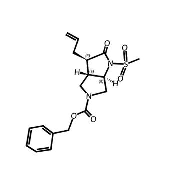 C=CC[C@H]1C(=O)N(S(C)(=O)=O)[C@H]2CN(C(=O)OCc3ccccc3)C[C@H]12